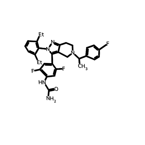 CCc1cccc(CC)c1-n1nc2c(c1-c1cc(F)c(NC(N)=O)cc1F)CN(C(C)c1ccc(F)cc1)CC2